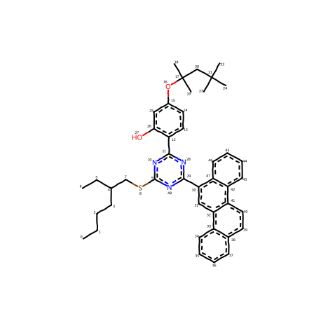 CCCCC(CC)CSc1nc(-c2ccc(OC(C)(C)CC(C)(C)C)cc2O)nc(-c2cc3c4ccccc4ccc3c3ccccc23)n1